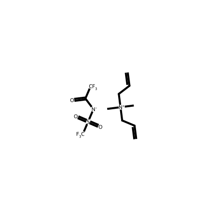 C=CC[N+](C)(C)CC=C.O=C([N-]S(=O)(=O)C(F)(F)F)C(F)(F)F